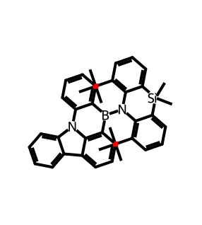 CC(C)(C)c1cccc2c1N(B1c3ccccc3-n3c4ccccc4c4cccc1c43)c1c(C(C)(C)C)cccc1[Si]2(C)C